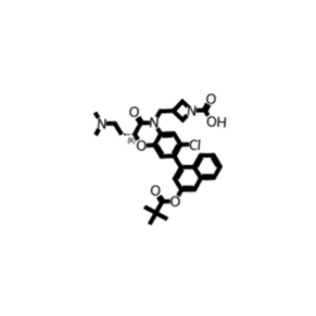 CN(C)CC[C@H]1Oc2cc(-c3cc(OC(=O)C(C)(C)C)cc4ccccc34)c(Cl)cc2N(CC2CN(C(=O)O)C2)C1=O